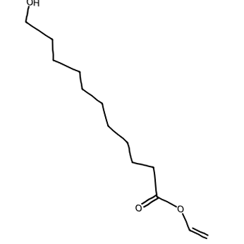 C=COC(=O)CCCCCCCCCCO